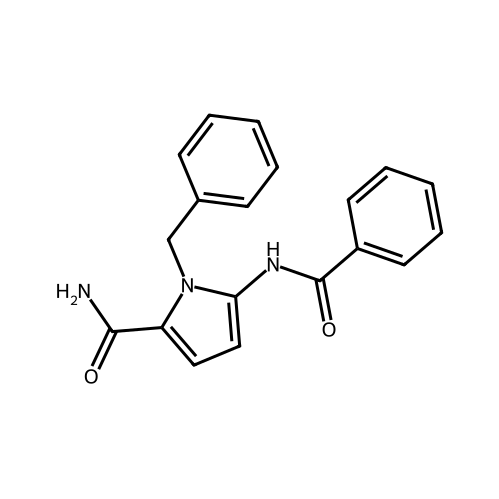 NC(=O)c1ccc(NC(=O)c2ccccc2)n1Cc1ccccc1